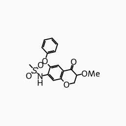 COC1COc2cc(NS(C)(=O)=O)c(Oc3ccccc3)cc2C1=O